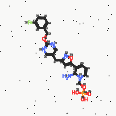 NC1C(c2cc(Cc3cnc(OCc4cccc(F)c4)nc3)no2)=CC=CN1COP(=O)(O)O